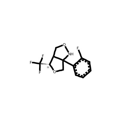 Fc1ccccc1C12CO[C@H](C(F)(F)F)C1CON2